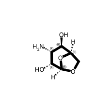 N[C@@H]1[C@@H](O)[C@H]2CO[C@H](O2)[C@@H]1O